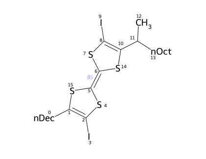 CCCCCCCCCCC1=C(I)S/C(=C2/SC(I)=C(C(C)CCCCCCCC)S2)S1